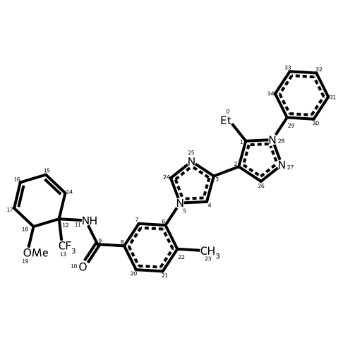 CCc1c(-c2cn(-c3cc(C(=O)NC4(C(F)(F)F)C=CC=CC4OC)ccc3C)cn2)cnn1-c1ccccc1